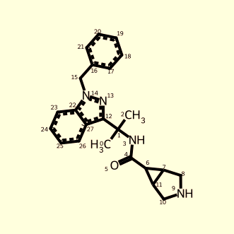 CC(C)(NC(=O)C1C2CNCC21)c1nn(Cc2ccccc2)c2ccccc12